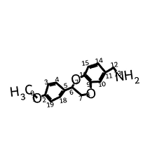 COc1ccc(C2COc3cc(CN)ccc3O2)cc1